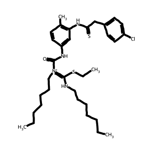 CCCCCCCNC(SCC)=[N+](CCCCCCC)C(=O)Nc1ccc(C)c(NC(=S)Cc2ccc(Cl)cc2)c1